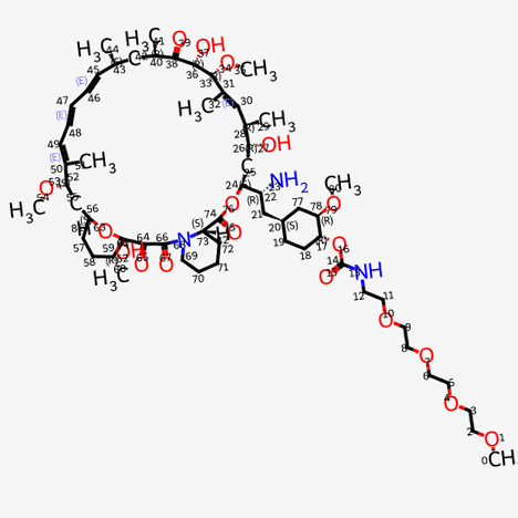 COCCOCCOCCOCCNC(=O)O[C@@H]1CC[C@@H](C[C@@H](N)[C@@H]2C[C@@H](O)[C@H](C)/C=C(\C)[C@@H](OC)[C@@H](O)C(=O)[C@H](C)C[C@H](C)/C=C/C=C/C=C(\C)[C@@H](OC)C[C@@H]3CC[C@@H](C)[C@@](O)(O3)C(=O)C(=O)N3CCCC[C@H]3C(=O)O2)C[C@H]1OC